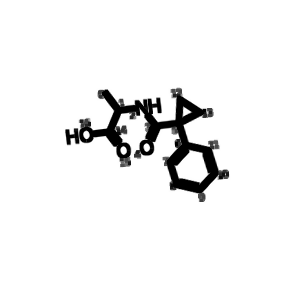 CC(NC(=O)C1(c2ccccc2)CC1)C(=O)O